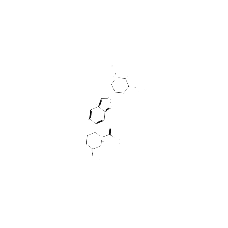 C[C@H]1C[C@H](n2cc3ccc([C@H]4CC[C@H](C)CN4C(=O)O)cc3n2)CN(C)C1